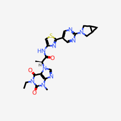 CCn1c(=O)c2c(ncn2[C@@H](C)C(=O)Nc2csc(-c3cnc(N4CC5CC5C4)nc3)n2)n(C)c1=O